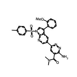 COc1ccccc1-c1cn(S(=O)(=O)c2ccc(C)cc2)c2ncc(-c3cc(C(=O)N(C)C)c(N)nn3)cc12